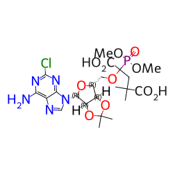 COP(=O)(OC)C(CC(C)(C)C(=O)O)(OC[C@H]1O[C@@H](n2cnc3c(N)nc(Cl)nc32)[C@@H]2OC(C)(C)O[C@@H]21)C(=O)O